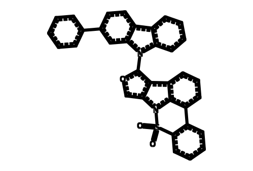 O=S1(=O)c2ccccc2-c2cccc3c4c(-n5c6ccccc6c6ccc(-c7ccccc7)cc65)occ4n1c23